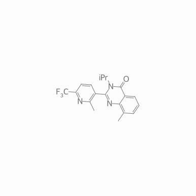 Cc1nc(C(F)(F)F)ccc1-c1nc2c(C)cccc2c(=O)n1C(C)C